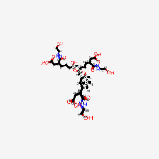 C[Si](O)(CCCC(CC(=O)O)C(=O)NCCO)O[Si](C)(CCCC(CC(=O)O)C(=O)NCCO)O[Si](C)(CCCC(CC(=O)O)C(=O)NCCO)[Si](C)(C)C